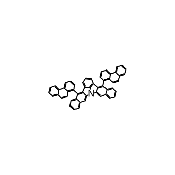 c1ccc2c(-c3cccc4c3ccc3ccccc34)c3c4cccc5c6c(-c7cccc8c7ccc7ccccc78)c7ccccc7cc6n(c3cc2c1)c45